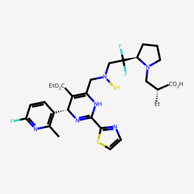 CCOC(=O)C1=C(CN(S)CC(F)(F)[C@H]2CCCN2C[C@@H](CC)C(=O)O)NC(c2nccs2)=N[C@@H]1c1ccc(F)nc1C